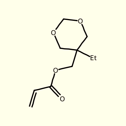 C=CC(=O)OCC1(CC)COCOC1